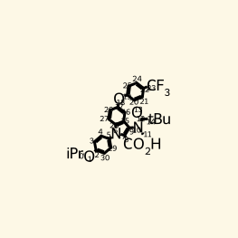 CC(C)Oc1ccc(-n2c(C(=O)O)c(N(C)C(=O)C(C)(C)C)c3cc(Oc4ccc(C(F)(F)F)cc4)ccc32)cc1